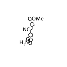 COC(=O)c1ccc(/C=C(\C#N)c2ccc(OS(N)(=O)=O)cc2)cc1